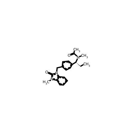 CC[C@H](c1ccc(Cn2c(=O)n(C)c3ccccc32)cc1)N(C)C(C)=O